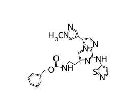 Cn1cc(-c2cnc3c(Nc4ccns4)nc(CCNC(=O)OCc4ccccc4)cn23)cn1